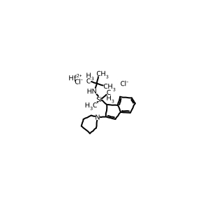 CC(C)(C)N[Si](C)(C)C1C(N2CCCCC2)=Cc2ccccc21.[Cl-].[Cl-].[Hf+2]